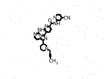 CC#CCN1CCCC(c2nc(-c3ccc(C(=O)Nc4cc(C#N)ccn4)nc3)n3c(N)nccc23)C1